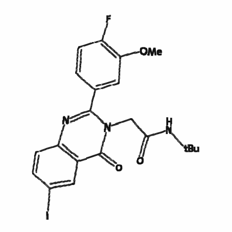 COc1cc(-c2nc3ccc(I)cc3c(=O)n2CC(=O)NC(C)(C)C)ccc1F